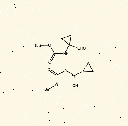 CC(C)(C)OC(=O)NC(O)C1CC1.CC(C)(C)OC(=O)NC1(C=O)CC1